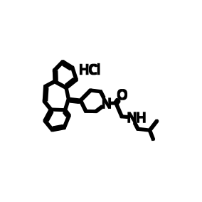 CC(C)CNCC(=O)N1CCC(=C2c3ccccc3C=Cc3ccccc32)CC1.Cl